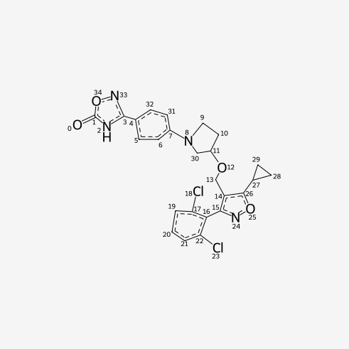 O=c1[nH]c(-c2ccc(N3CCC(OCc4c(-c5c(Cl)cccc5Cl)noc4C4CC4)C3)cc2)no1